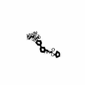 CC(C)(NS(=O)(=O)c1ccc(-c2cccc(CNC(=O)OC3CCCC3)c2)cc1)c1cnn[nH]1